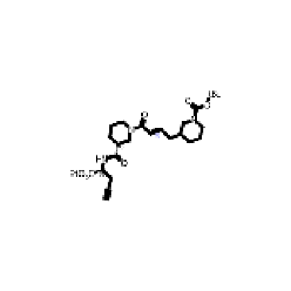 C#CC[C@H](NC(=O)[C@@H]1CCCN(C(=O)/C=C/CC2CCCN(C(=O)OC(C)(C)C)C2)C1)C(=O)OCC